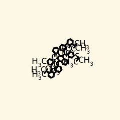 Cc1ccc(N(c2cccc3c2oc2c(C(C)(C)C)cccc23)c2c3ccccc3c(N(c3ccc(SC(C)C)cc3)c3cccc4c3oc3c(C(C)(C)C)cccc34)c3c2oc2ccccc23)cc1